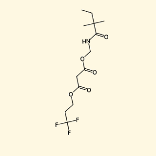 CCC(C)(C)C(=O)NCOC(=O)CC(=O)OCCC(F)(F)F